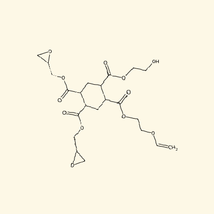 C=COCCOC(=O)C1CC(C(=O)OCC2CO2)C(C(=O)OCC2CO2)CC1C(=O)OCCO